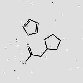 CCC(=O)CC1CCCC1.c1ccsc1